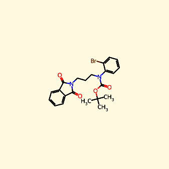 CC(C)(C)OC(=O)N(CCCN1C(=O)c2ccccc2C1=O)c1ccccc1Br